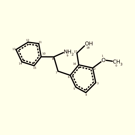 COc1cccc(CC(N)c2ccccc2)c1CO